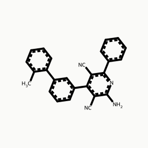 Cc1ccccc1-c1cccc(-c2c(C#N)c(N)nc(-c3ccccc3)c2C#N)c1